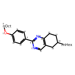 CCCCCCCCOc1ccc(-c2ncc3c(n2)CCC(CCCCCC)C3)cc1